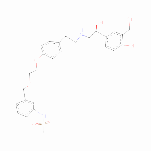 CS(=O)(=O)Nc1cccc(COCCOc2ccc(CCNC[C@@H](O)c3ccc(O)c(CO)c3)cc2)c1